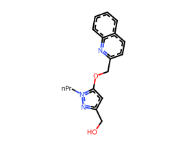 CCCn1nc(CO)cc1OCc1ccc2ccccc2n1